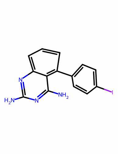 Nc1nc(N)c2c(-c3ccc(I)cc3)cccc2n1